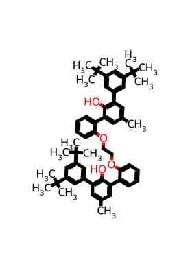 Cc1cc(-c2cc(C(C)(C)C)cc(C(C)(C)C)c2)c(O)c(-c2ccccc2OCCOc2ccccc2-c2cc(C)cc(-c3cc(C(C)(C)C)cc(C(C)(C)C)c3)c2O)c1